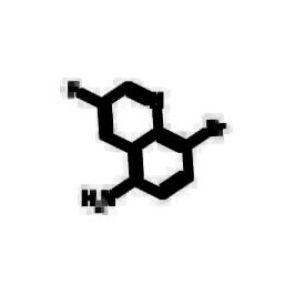 Nc1ccc(Br)c2ncc(F)cc12